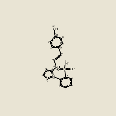 CC(C)S(=O)(=O)c1ccccc1-n1nccc1NN=Cc1ccc(O)cc1